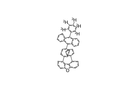 [2H]c1c([2H])c([2H])c(-c2c3ccccc3c(-c3ccc(-c4cccc5oc6cccc(-c7ccccc7)c6c45)cc3)c3ccccc23)c([2H])c1[2H]